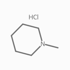 CN1CCCCC1.Cl